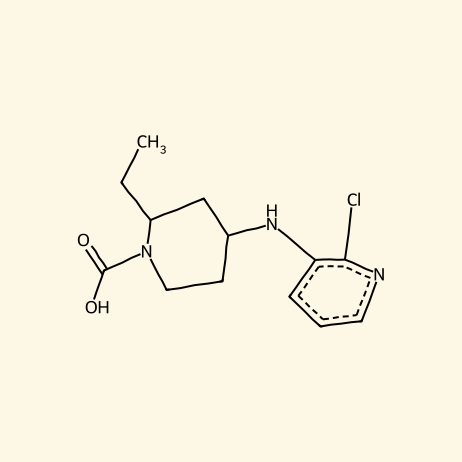 CCC1CC(Nc2cccnc2Cl)CCN1C(=O)O